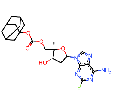 C[C@]1(COC(=O)OC23CC4CC(CC(C4)C2)C3)O[C@@H](n2cnc3c(N)nc(F)nc32)C[C@@H]1O